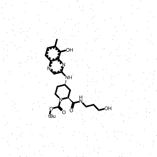 Cc1ccc2ncc(N[C@H]3CCN(C(=O)OC(C)(C)C)[C@H](C(=O)NCCCO)C3)nc2c1O